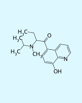 CCC(C(=O)c1ccc(O)c2ncccc12)N(C)C(C)C